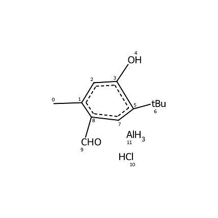 Cc1cc(O)c(C(C)(C)C)cc1C=O.Cl.[AlH3]